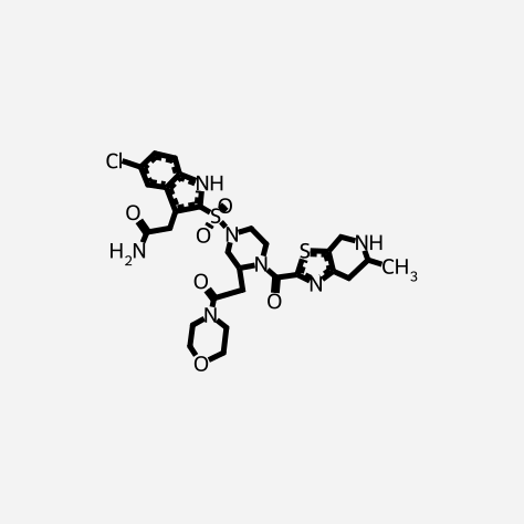 CC1Cc2nc(C(=O)N3CCN(S(=O)(=O)c4[nH]c5ccc(Cl)cc5c4CC(N)=O)CC3CC(=O)N3CCOCC3)sc2CN1